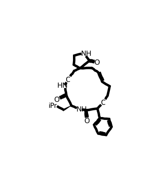 CC(C)C[C@@H]1NC(=O)C(c2ccccc2)CCC/C=C/CC2(CCNC1=O)CCNC2=O